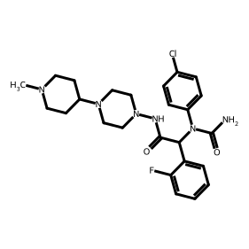 CN1CCC(N2CCN(NC(=O)C(c3ccccc3F)N(C(N)=O)c3ccc(Cl)cc3)CC2)CC1